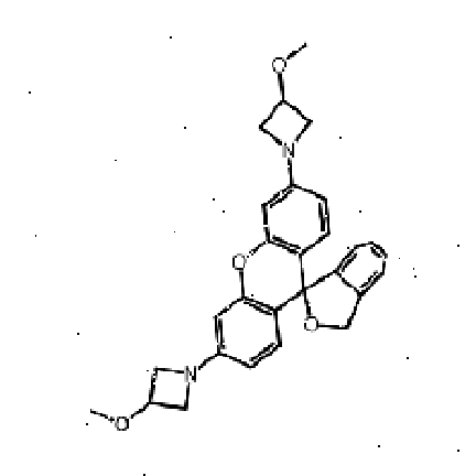 COC1CN(c2ccc3c(c2)Oc2cc(N4CC(OC)C4)ccc2C32OCc3ccccc32)C1